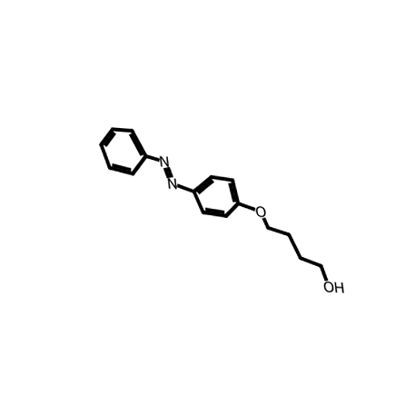 OCCCCOc1ccc(N=Nc2ccccc2)cc1